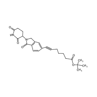 CC(C)(C)OC(=O)CCCCC#Cc1ccc2c(c1)CN(C1CCC(=O)NC1=O)C2=O